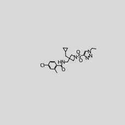 CCn1cc(S(=O)(=O)N2CC(CNC(=O)c3ccc(Cl)cc3C)(CC3CC3)C2)nn1